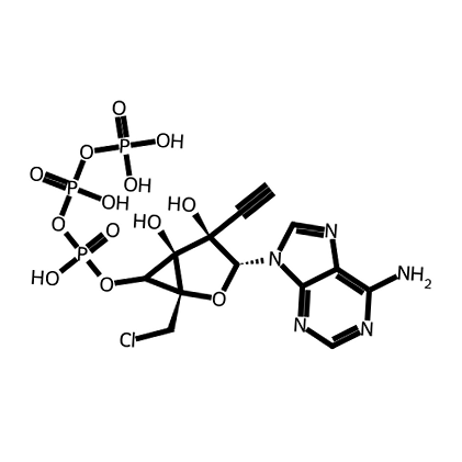 C#C[C@]1(O)[C@H](n2cnc3c(N)ncnc32)O[C@]2(CCl)C(OP(=O)(O)OP(=O)(O)OP(=O)(O)O)[C@@]21O